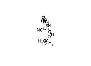 C[Si](C)(C)C#Cc1ccc(C(=O)c2ccc(CCc3nc4cnc5c(ccn5S(=O)(=O)c5ccccc5)c4n3[C@H]3CC[C@H](CC#N)CC3)cc2)cc1